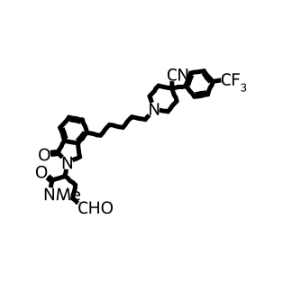 CNC(=O)C(CCC=O)N1Cc2c(CCCCCN3CCC(C#N)(c4ccc(C(F)(F)F)cc4)CC3)cccc2C1=O